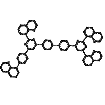 c1cnc2c(-c3ccc(-c4cc(-c5ccc(-c6ccc(-c7cc(-c8cccc9cccnc89)nc(-c8cccc9cccnc89)n7)cc6)cc5)nc(-c5cccc6cccnc56)n4)cc3)cccc2c1